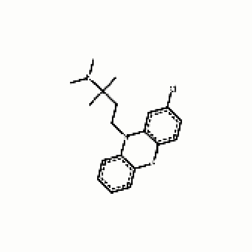 CN(C)C(C)(C)CCN1c2ccccc2Sc2ccc(Cl)cc21